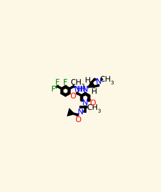 C[C@@H](NC(=O)c1cn(C2(C)CN(C(=O)C3CC3)C2)c(=O)cc1NC1[C@H]2CN(C)C[C@@H]12)c1cccc(C(F)F)c1F